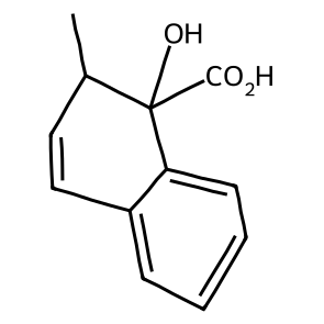 CC1C=Cc2ccccc2C1(O)C(=O)O